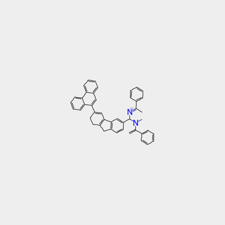 C=C(c1ccccc1)N(C)C(/N=C(\C)c1ccccc1)c1ccc2c(c1)C1=C(CCC(c3cc4ccccc4c4ccccc34)=C1)C2